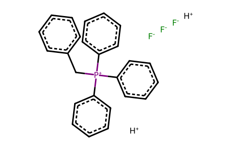 [F-].[F-].[F-].[H+].[H+].c1ccc(C[P+](c2ccccc2)(c2ccccc2)c2ccccc2)cc1